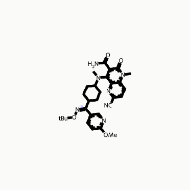 COc1ccc(/C(=N\OC(C)(C)C)C2CCC(N(C)c3c(C(N)=O)c(=O)n(C)c4ccc(C#N)nc34)CC2)cn1